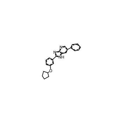 c1ccc(-c2cnc3nc(-c4cccc(OC5CCCC5)c4)[nH]c3c2)cc1